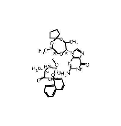 COC(=O)[C@H](C)NP(=O)(OC[C@H]1O[C@@H](n2cnc3c(=O)[nH]c(N)nc32)C(C)OC2(CCCC2)O[C@@H]1C)Oc1cccc2ccccc12